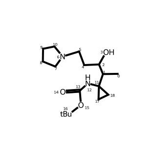 CC(C(O)CCN1CCCC1)C1(NC(=O)OC(C)(C)C)CC1